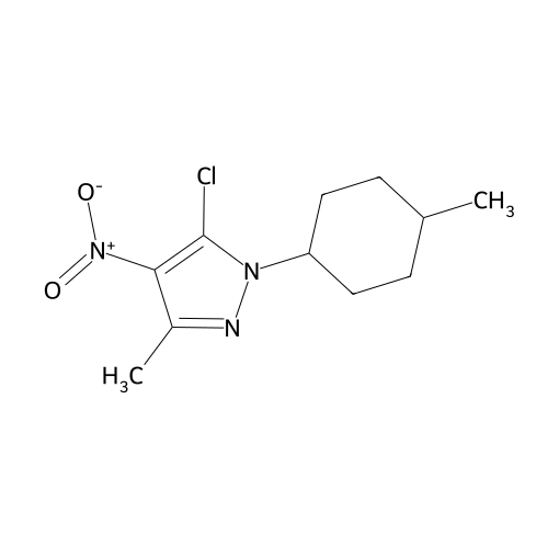 Cc1nn(C2CCC(C)CC2)c(Cl)c1[N+](=O)[O-]